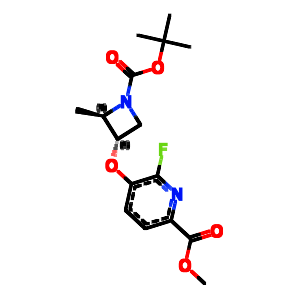 COC(=O)c1ccc(O[C@H]2CN(C(=O)OC(C)(C)C)[C@@H]2C)c(F)n1